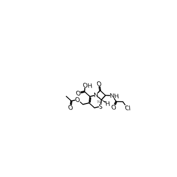 CC(=O)OCC1=C(C(=O)O)N2C(=O)C(NC(=O)CCl)[C@@H]2SC1